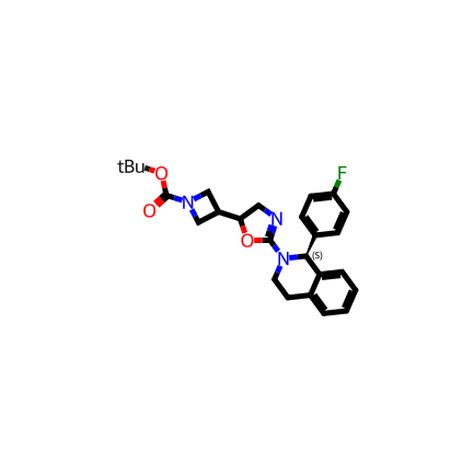 CC(C)(C)OC(=O)N1CC(C2CN=C(N3CCc4ccccc4[C@@H]3c3ccc(F)cc3)O2)C1